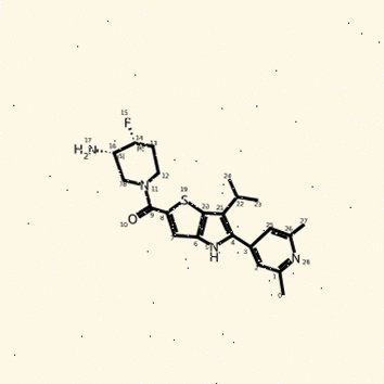 Cc1cc(-c2[nH]c3cc(C(=O)N4CC[C@@H](F)[C@@H](N)C4)sc3c2C(C)C)cc(C)n1